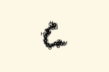 O=C1CC[C@H](N2C(=O)c3ccc(N4CC(C(=O)N5CCC(CN6CCN(c7ccc(Nc8ncnc9c8ncn9C8CC(NC(=O)c9c(Cl)cccc9Cl)C8)cc7)CC6)CC5)C4)cc3C2=O)C(=O)N1